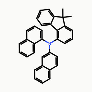 CC1(C)c2ccccc2-c2c(N(c3ccc4ccccc4c3)c3cccc4ccccc34)cccc21